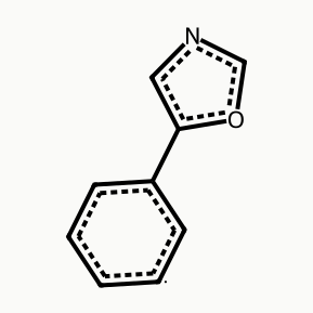 [c]1cccc(-c2cnco2)c1